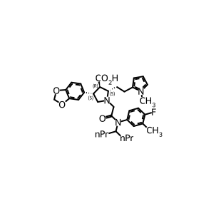 CCCC(CCC)N(C(=O)CN1C[C@H](c2ccc3c(c2)OCO3)[C@@H](C(=O)O)[C@@H]1CCc1cccn1C)c1ccc(F)c(C)c1